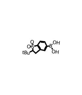 CC(C)(C)C1Cc2cc(B(O)O)ccc2S1(=O)=O